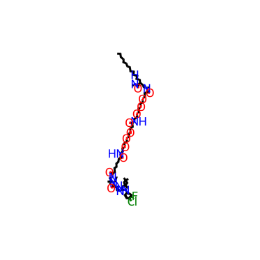 CCCCCCCCCCCCCCC(CCN(C)C(=O)CCOCCOCCOCCNC(=O)CCOCCOCCOCCNC(=O)CCCCCCC(=O)N1CCN(C(=O)c2cnc3c(n2)C2(CN3c3ccc(Cl)c(F)c3)CC(C)(C)C2)C(C)(C)C1)C(=O)NC